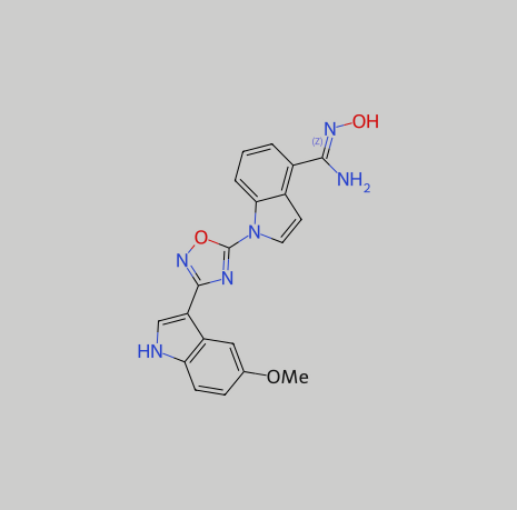 COc1ccc2[nH]cc(-c3noc(-n4ccc5c(/C(N)=N/O)cccc54)n3)c2c1